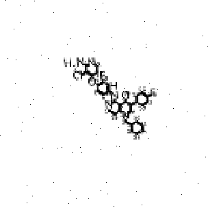 Nc1nccc(Oc2ccc(Nc3nccc4c3c(=O)c(-c3ccc(F)cc3)cn4Cc3ccccc3)cc2F)c1Cl